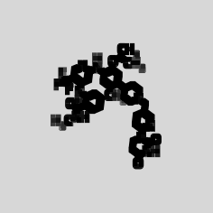 CNC(=O)c1ccccc1Nc1cc(Nc2cc(C)c(C3CCN(Cc4ccc(N5CCC(=O)NC5=O)nc4)CC3)cc2OC(C)C)ncc1C(F)(F)F